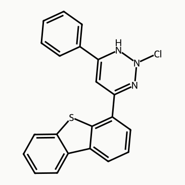 ClN1N=C(c2cccc3c2sc2ccccc23)C=C(c2ccccc2)N1